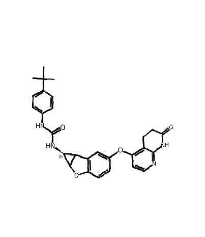 CC(C)(C)c1ccc(NC(=O)N[C@@H]2C3Oc4ccc(Oc5ccnc6c5CCC(=O)N6)cc4C32)cc1